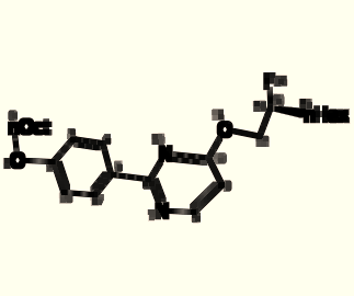 CCCCCCCCOc1ccc(-c2nccc(OC[C@@H](F)CCCCCC)n2)cc1